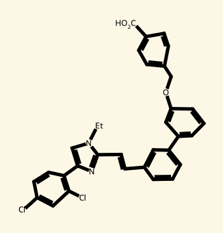 CCn1cc(-c2ccc(Cl)cc2Cl)nc1C=Cc1cccc(-c2cccc(OCc3ccc(C(=O)O)cc3)c2)c1